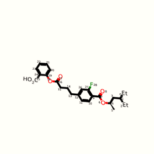 CCC(CC)C[C@@H](C)OC(=O)c1ccc(CCCC(=O)Oc2ccccc2C(=O)O)cc1F